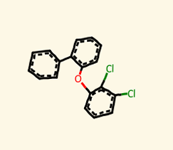 Clc1cccc(Oc2ccccc2-c2ccccc2)c1Cl